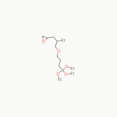 CCO[Si](CCCOCC(CC)CC1CO1)(OCC)OCC